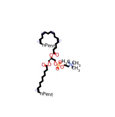 CCCCC/C=C\C/C=C\C/C=C\C/C=C\CCCC(=O)O[C@H](COC(=O)CCCCCCC/C=C\CCCCC)COP(=O)([O-])OCC[N+](C)(C)C